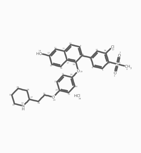 CS(=O)(=O)c1ccc(-c2ccc3cc(O)ccc3c2Oc2ccc(OCCC3CCCCN3)cc2)cc1Cl.Cl